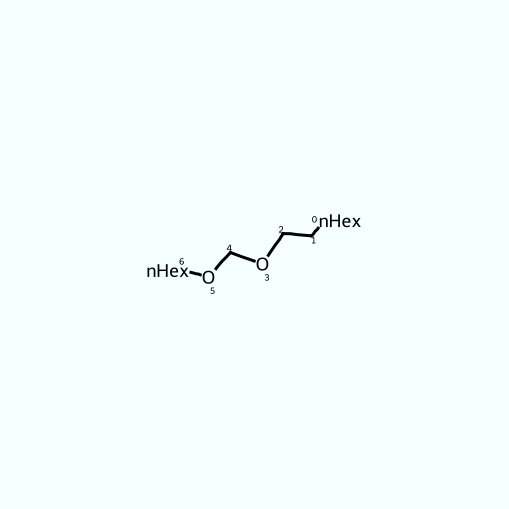 CCCCCCCCOCOCCCCCC